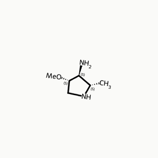 CO[C@H]1CN[C@@H](C)[C@@H]1N